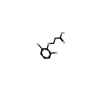 O=C(O)CCOc1c(Cl)cccc1Cl